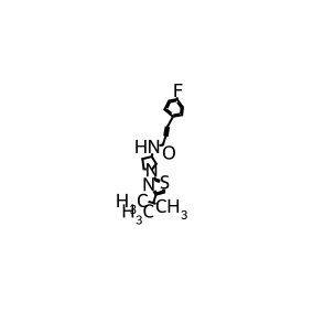 CC(C)(C)c1csc(N2CCC(NC(=O)C#Cc3ccc(F)cc3)C2)n1